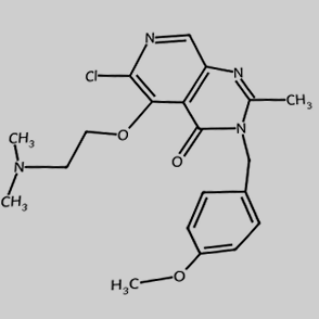 COc1ccc(Cn2c(C)nc3cnc(Cl)c(OCCN(C)C)c3c2=O)cc1